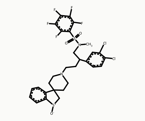 CN(CC(CCN1CCC2(CC1)C[S+]([O-])c1ccccc12)c1ccc(Cl)c(Cl)c1)S(=O)(=O)c1c(F)c(F)c(F)c(F)c1F